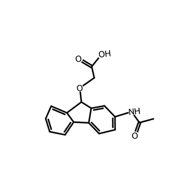 CC(=O)Nc1ccc2c(c1)C(OCC(=O)O)c1ccccc1-2